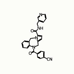 N#Cc1ccc(C(=O)N2Cc3ccc(C(=O)NCc4cccnc4)n3Cc3ccccc32)cc1